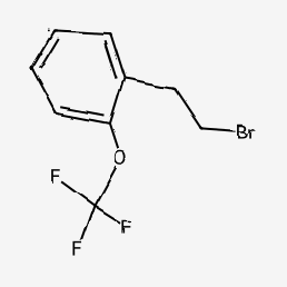 FC(F)(F)Oc1cc[c]cc1CCBr